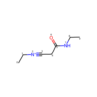 CC[N+]#CCC(=O)NCC